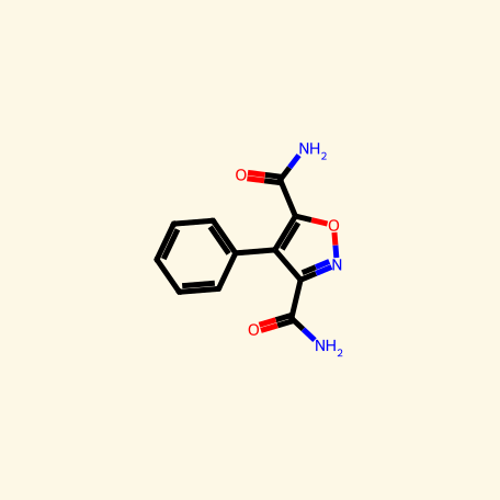 NC(=O)c1noc(C(N)=O)c1-c1ccccc1